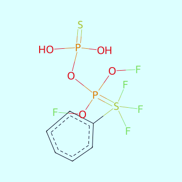 OP(O)(=S)OP(OF)(OF)=S(F)(F)(F)c1ccccc1